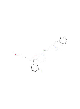 COCCCC[C@@](O)(c1cccc(F)c1)C1CCCN(C(=O)C[C@H](O)[C@@H](N)Cc2ccccc2)C1